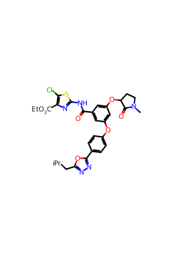 CCOC(=O)c1nc(NC(=O)c2cc(Oc3ccc(-c4nnc(CC(C)C)o4)cc3)cc(OC3CCN(C)C3=O)c2)sc1Cl